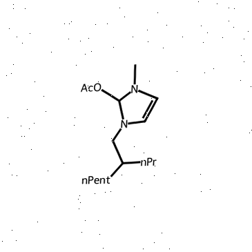 CCCCCC(CCC)CN1C=CN(C)C1OC(C)=O